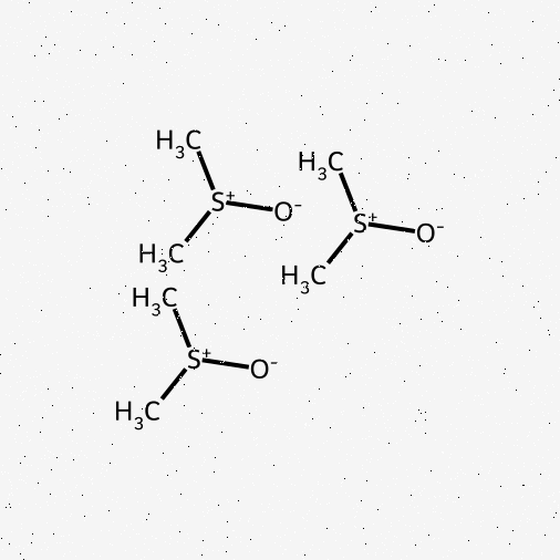 C[S+](C)[O-].C[S+](C)[O-].C[S+](C)[O-]